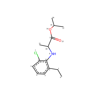 CCc1cccc(Cl)c1NC(C)C(=O)OC(C)C